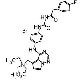 CC[N+](CC)(CC)Cc1ccn2ncnc(Nc3ccc(NC(=O)NC(=O)Cc4ccc(F)cc4)cc3)c12.[Br-]